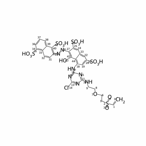 C=CS(=O)(=O)CCOCCNc1nc(Cl)nc(Nc2cc(S(=O)(=O)O)cc3cc(S(=O)(=O)O)c(/N=N/c4ccc5c(S(=O)(=O)O)cccc5c4S(=O)(=O)O)c(O)c23)n1